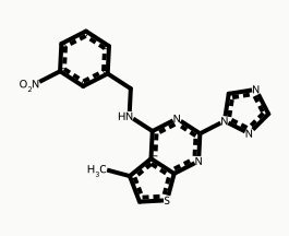 Cc1csc2nc(-n3cncn3)nc(NCc3cccc([N+](=O)[O-])c3)c12